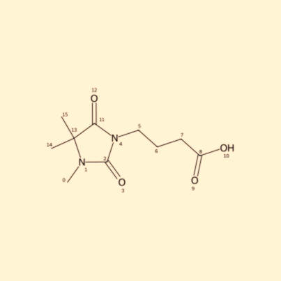 CN1C(=O)N(CCCC(=O)O)C(=O)C1(C)C